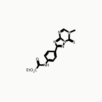 CCOC(=O)C(=O)Nc1ccc(-c2nc3ncn(C)c(=S)n3n2)cc1